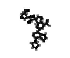 CNc1cc(-c2ccc(N3CCCC3)c3nccn23)nc2c(C(=O)N[C@H]3COC[C@H]3O)cnn12